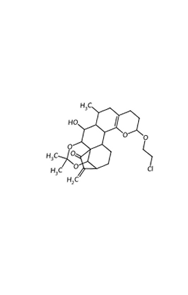 C=C1C(=O)C23C4CCC1C2OC(C)(C)OC3C(O)C1C(C)CC2=C(OC(OCCCl)CC2)C14